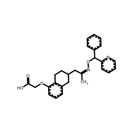 C/C(CC1CCc2c(cccc2OCC(=O)O)C1)=N/OC(c1ccccc1)c1ccccn1